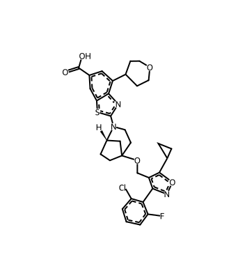 O=C(O)c1cc(C2CCOCC2)c2nc(N3CCC4(OCc5c(-c6c(F)cccc6Cl)noc5C5CC5)CC[C@H]3C4)sc2c1